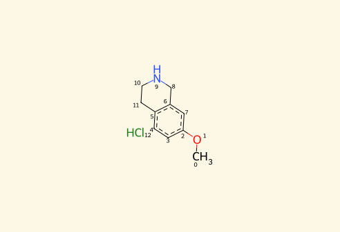 COc1ccc2c(c1)CNCC2.Cl